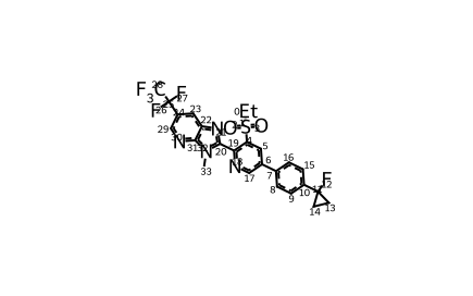 CCS(=O)(=O)c1cc(-c2ccc(C3(F)CC3)cc2)cnc1-c1nc2cc(C(F)(F)C(F)(F)F)cnc2n1C